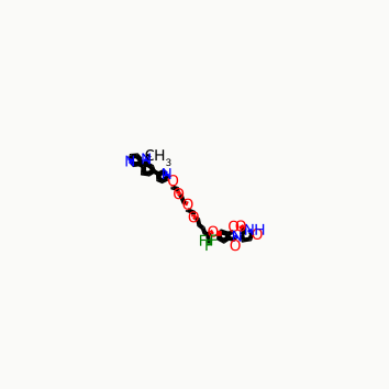 Cn1c2ccncc2c2ccc(-c3ccc(OCCOCCOCCOCCCCC(Oc4ccc5c(c4)C(=O)N(C4CCC(=O)NC4=O)C5=O)C(F)(F)F)nc3)cc21